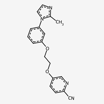 Cc1nccn1-c1cccc(OCCOc2ccc(C#N)nc2)c1